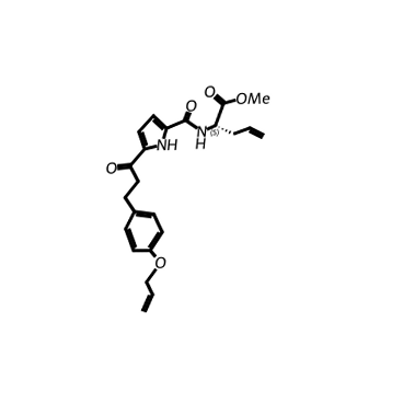 C=CCOc1ccc(CCC(=O)c2ccc(C(=O)N[C@@H](CC=C)C(=O)OC)[nH]2)cc1